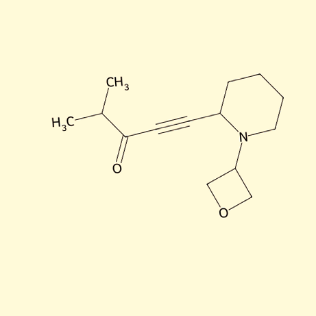 CC(C)C(=O)C#CC1CCCCN1C1COC1